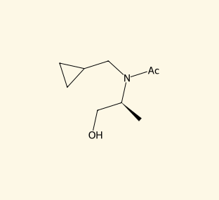 CC(=O)N(CC1CC1)[C@@H](C)CO